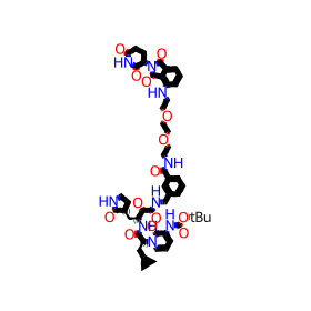 CC(C)(C)OC(=O)Nc1cccn([C@@H](CC2CC2)C(=O)N[C@@H](C[C@@H]2CCNC2=O)C(=O)C(=O)NCc2cccc(C(=O)NCCOCCOCCNc3cccc4c3C(=O)N(C3CCC(=O)NC3=O)C4=O)c2)c1=O